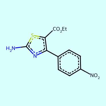 CCOC(=O)c1sc(N)nc1-c1ccc([N+](=O)[O-])cc1